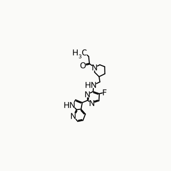 CCC(=O)N1CCCC(CNc2nc(-c3c[nH]c4ncccc34)ncc2F)C1